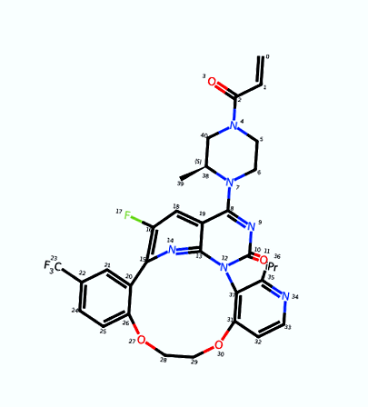 C=CC(=O)N1CCN(c2nc(=O)n3c4nc(c(F)cc24)-c2cc(C(F)(F)F)ccc2OCCOc2ccnc(C(C)C)c2-3)[C@@H](C)C1